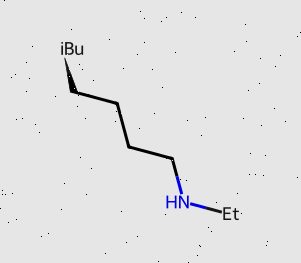 CCNCCCC[C@H](C)CC